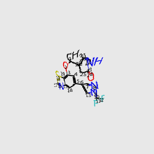 C[C@@H](Oc1cc(-c2cnn(C(F)F)c2)cc2ncsc12)C1CNC(=O)C1